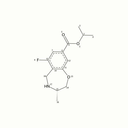 CC(C)OC(=O)c1cc(F)c2c(c1)OC[C@H](C)NC2